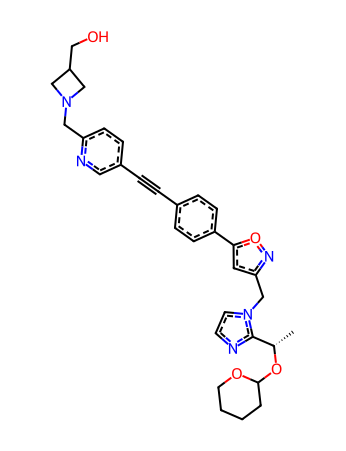 C[C@H](OC1CCCCO1)c1nccn1Cc1cc(-c2ccc(C#Cc3ccc(CN4CC(CO)C4)nc3)cc2)on1